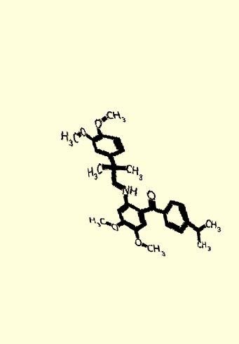 COc1ccc(C(C)(C)CNc2cc(OC)c(OC)cc2C(=O)c2ccc(C(C)C)cc2)cc1OC